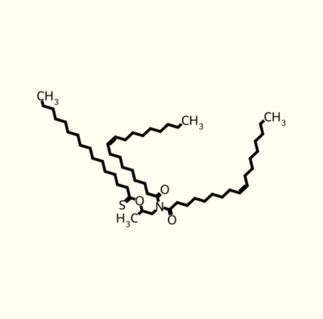 CCCCCCCC/C=C\CCCCCCCC(=O)N(CC(C)OC(=S)CCCCCCCCCCCCCCC)C(=O)CCCCCCC/C=C\CCCCCCCC